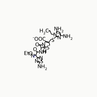 C=CC[n+]1c(N)cc(N)nc1SCC1=C(C(=O)[O-])N2C(=O)C(NC(=O)/C(=N\OCC)c3nsc(N)n3)[C@H]2SC1